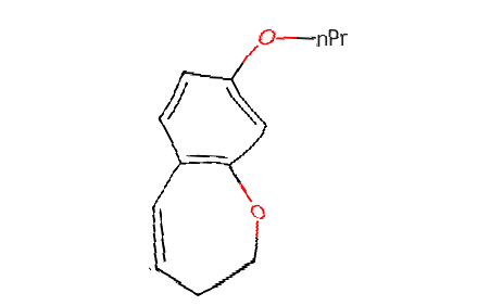 CCCOc1ccc2c(c1)OCC[C]=C2